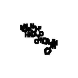 O=C(C(=O)N1CCN(c2snnc2-c2ccccc2)CC1)c1c[nH]c2c(-n3ccnn3)ncc(F)c12